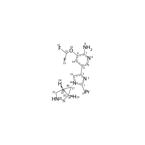 CC(C)c1nc(-c2cnc(N)c(OC(F)F)c2)cn1[C@@H]1[C@@H]2CNC[C@@H]21